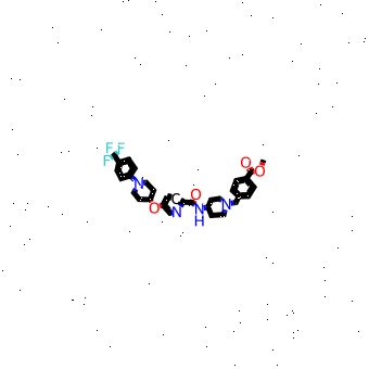 COC(=O)c1ccc(CN2CCC(NC(=O)c3ccc(OC4CCN(c5ccc(C(F)(F)F)cc5)CC4)cn3)CC2)cc1